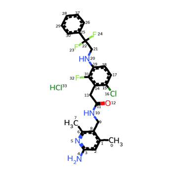 Cc1cc(N)nc(C)c1CNC(=O)Cc1c(Cl)ccc(NCC(F)(F)c2ccccc2)c1F.Cl